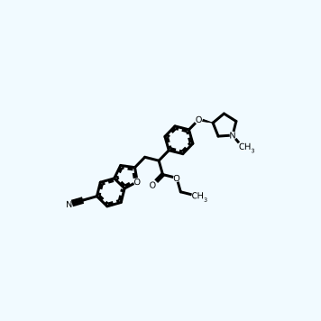 CCOC(=O)C(Cc1cc2cc(C#N)ccc2o1)c1ccc(O[C@H]2CCN(C)C2)cc1